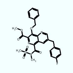 COC(=O)c1nc(C(=O)N(C)S(C)(=O)=O)c2cc(Cc3ccc(F)cc3)cnc2c1OCc1ccccc1